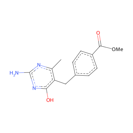 COC(=O)c1ccc(Cc2c(C)nc(N)nc2O)cc1